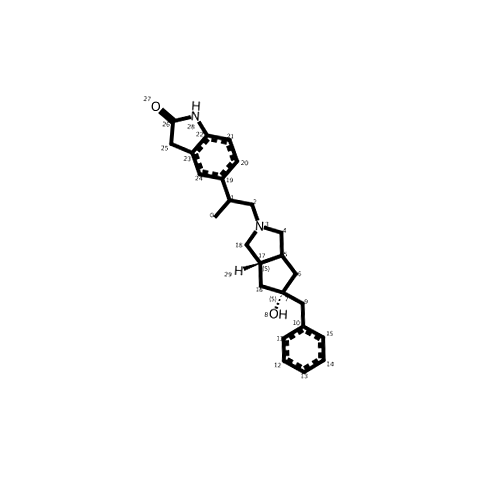 CC(CN1CC2C[C@@](O)(Cc3ccccc3)C[C@@H]2C1)c1ccc2c(c1)CC(=O)N2